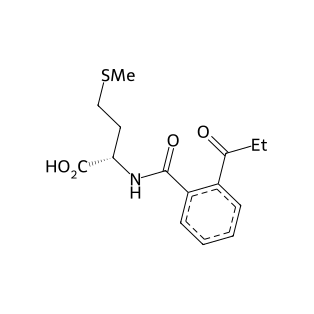 CCC(=O)c1ccccc1C(=O)N[C@@H](CCSC)C(=O)O